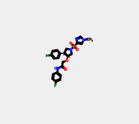 Cn1cnc(S(=O)(=O)N2C[C@@H](OCC(=O)Nc3ccc(F)cc3)[C@H](c3ccc(F)cc3)C2)c1